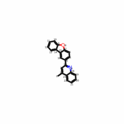 Cc1cc(-c2ccc3oc4ccccc4c3c2)nc2ccccc12